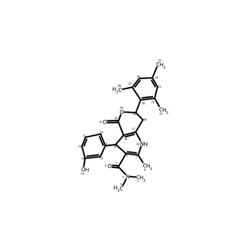 CC1=C(C(=O)N(C)C)C(c2cccc(O)c2)C2=C(CC(c3c(C)cc(C)cc3C)OC2=O)N1